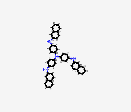 c1ccc2cc(Nc3ccc(N(c4ccc(Nc5ccc6ccccc6c5)cc4)c4ccc(Nc5ccc6ccccc6c5)cc4)cc3)ccc2c1